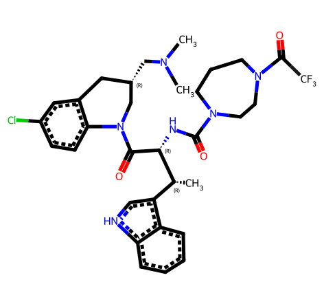 C[C@H](c1c[nH]c2ccccc12)[C@@H](NC(=O)N1CCCN(C(=O)C(F)(F)F)CC1)C(=O)N1C[C@@H](CN(C)C)Cc2cc(Cl)ccc21